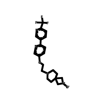 [O-][S+]1CC2(CCN(CCOc3ccc(-c4ccc(C(F)(F)F)nc4)nc3)CC2)C1